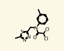 Cc1cccc(N(Cc2nnc(C)s2)C(=O)C(Cl)Cl)c1